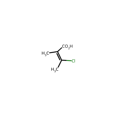 C/C(Cl)=C(\C)C(=O)O